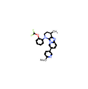 COc1ccc(-c2ccc3nc4c(n3c2)N(c2ccccc2OC(F)F)CCC4C)cn1